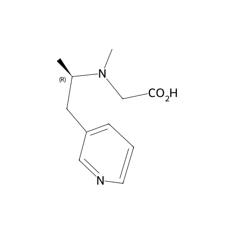 C[C@H](Cc1cccnc1)N(C)CC(=O)O